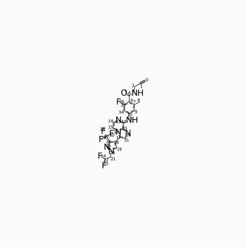 C#CCNC(=O)c1c(C)cc(Nc2nccn3c(-c4cn(CC(F)F)nc4C(F)(F)F)cnc23)cc1F